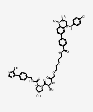 CC(=O)N1c2ccc(-c3ccc(C(=O)NCCOCCOCC(=O)NC(C(=O)N4C[C@H](O)C[C@H]4C(=O)NCc4ccc(-c5scnc5C)cc4)C(C)(C)C)cc3)cc2[C@H](Nc2ccc(Cl)cc2)C[C@@H]1C